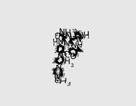 Cc1cc(Nc2nc(NC3CCOCC34CC4)c(-c3cc[nH]n3)nc2C(N)=O)ccc1N1CCC(N2CCN(C)CC2)CC1